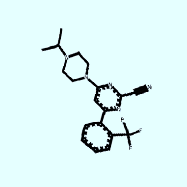 CC(C)N1CCN(c2cc(-c3ccccc3C(F)(F)F)nc(C#N)n2)CC1